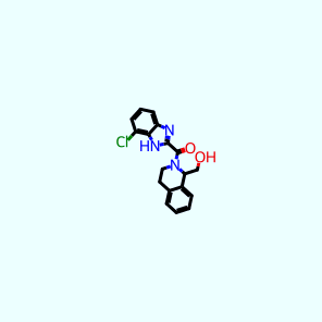 O=C(c1nc2cccc(Cl)c2[nH]1)N1CCc2ccccc2C1CO